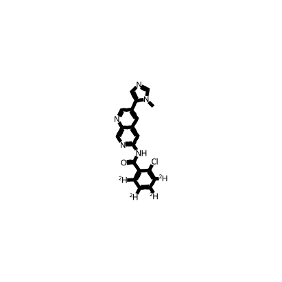 [2H]c1c([2H])c([2H])c(C(=O)Nc2cc3cc(-c4cncn4C)cnc3cn2)c(Cl)c1[2H]